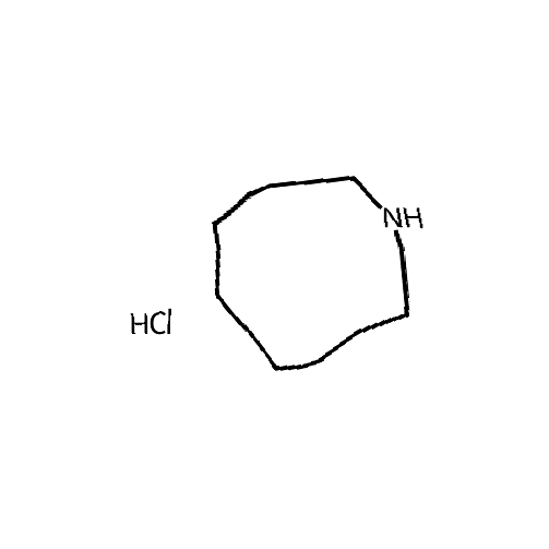 C1CCCNCCC1.Cl